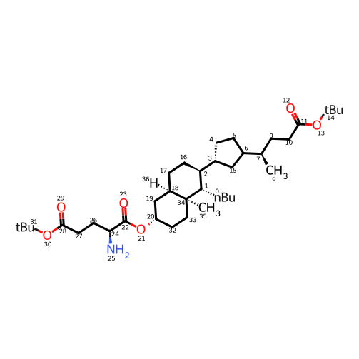 CCCC[C@H]1[C@H]([C@@H]2CCC([C@H](C)CCC(=O)OC(C)(C)C)C2)CC[C@@H]2C[C@@H](OC(=O)[C@@H](N)CCC(=O)OC(C)(C)C)CC[C@@]21C